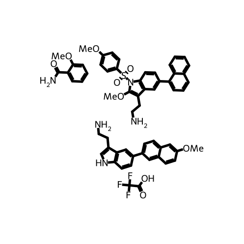 COc1ccc(S(=O)(=O)n2c(OC)c(CCN)c3cc(-c4cccc5ccccc45)ccc32)cc1.COc1ccc2cc(-c3ccc4[nH]cc(CCN)c4c3)ccc2c1.COc1ccccc1C(N)=O.O=C(O)C(F)(F)F